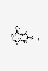 Cc1cc2c(=O)[nH]ccn2n1